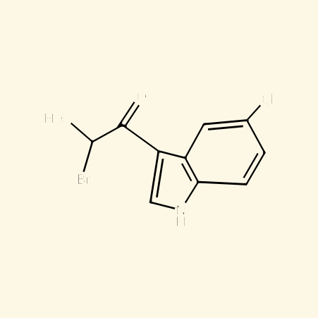 CC(Br)C(=O)c1c[nH]c2ccc(Cl)cc12